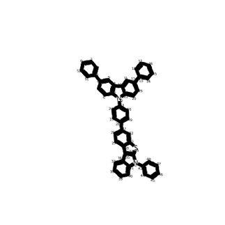 c1ccc(-c2ccc3c(c2)c2cc(-c4ccccc4)ccc2n3-c2ccc(-c3ccc4c(c3)sc3c4c4ccccc4n3-c3ccccc3)cc2)cc1